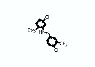 CCSc1ccc(Cl)cc1NSc1ccc(Cl)c(C(F)(F)F)c1